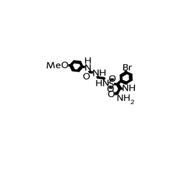 COc1ccc(NC(=O)NCCNS(=O)(=O)c2c(C(N)=O)[nH]c3ccc(Br)cc23)cc1